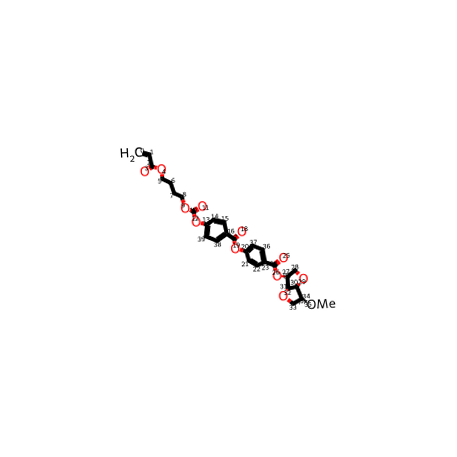 C=CC(=O)OCCCCOC(=O)Oc1ccc(C(=O)Oc2ccc(C(=O)O[C@H]3COC4C3OC[C@@H]4OC)cc2)cc1